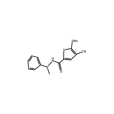 CSc1sc(C(=O)NN(C)c2ccccc2)cc1C#N